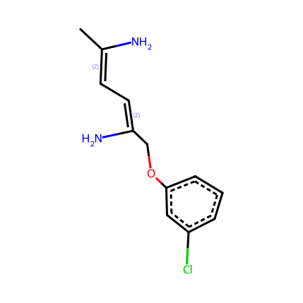 C/C(N)=C/C=C(\N)COc1cccc(Cl)c1